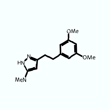 CNc1cc(CCc2cc(OC)cc(OC)c2)n[nH]1